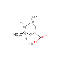 CC(=O)O[C@@H]1CC2C(=O)O[C@H](C)[C@H]2[C@@H](C(=O)O)[C@@H]1C